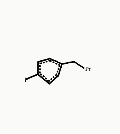 CC(C)Cc1ccc(I)cc1